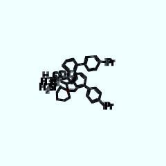 CC(C)c1ccc(-c2cccc3c2C=C[CH]3[Hf]([CH3])([CH3])([CH3])(=[SiH2])([CH]2CCCCC2)[CH]2C=Cc3c(-c4ccc(C(C)C)cc4)cccc32)cc1